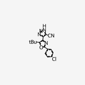 CC(C)(C)c1oc(-c2ccc(Cl)cc2)nc1-c1nn[nH]c1C#N